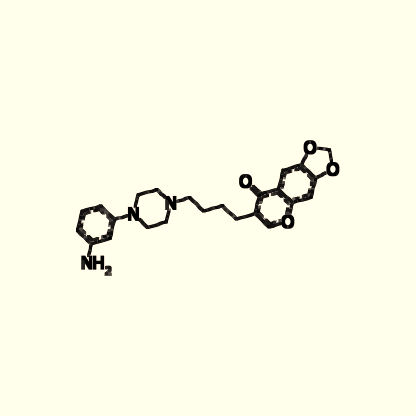 Nc1cccc(N2CCN(CCCCc3coc4cc5c(cc4c3=O)OCO5)CC2)c1